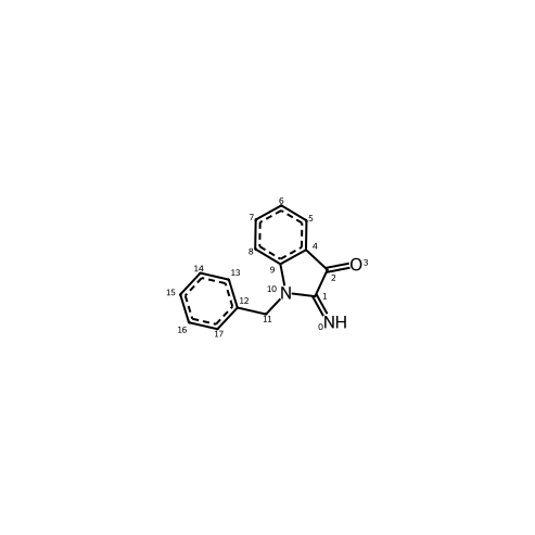 N=C1C(=O)c2ccccc2N1Cc1ccccc1